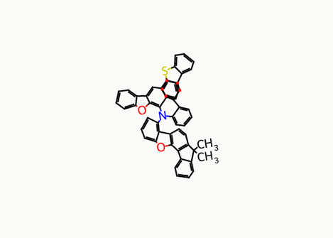 CC1(C)c2ccccc2-c2c1ccc1c2oc2cccc(N(c3ccccc3-c3ccc4sc5ccccc5c4c3)c3c4ccccc4cc4c3oc3ccccc34)c21